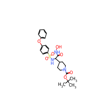 CC(C)(C)OC(=O)N1CCC(C(NS(=O)(=O)c2ccc(Oc3ccccc3)cc2)C(=O)NO)CC1